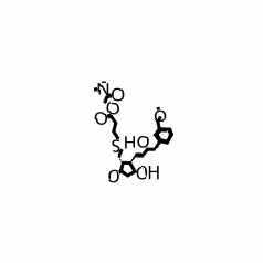 COCc1cccc(C[C@H](O)/C=C/[C@H]2[C@H](O)CC(=O)[C@@H]2CCSCCCC(=O)OCC(=O)N(C)C)c1